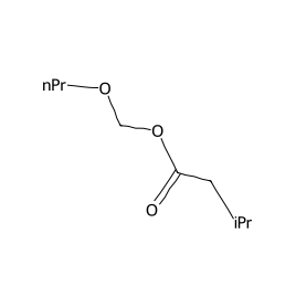 CCCOCOC(=O)CC(C)C